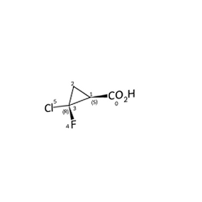 O=C(O)[C@@H]1C[C@@]1(F)Cl